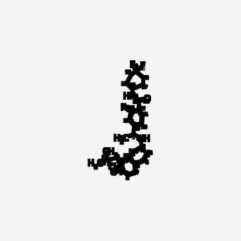 CC(Nc1ncc2ccc(=O)n(CC(C)(C)C)c2n1)c1ccc(C(=O)NC2CCC(F)(F)CC2)c(F)c1